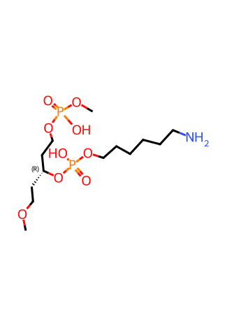 COCC[C@H](CCOP(=O)(O)OC)OP(=O)(O)OCCCCCCN